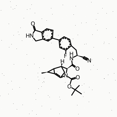 C[C@@H]1C2=C3C[C@H](C21)[C@@H](C(=O)N[C@H](C#N)Cc1ccc(-c2ccc4c(c2)CNC4=O)cc1F)N3C(=O)OC(C)(C)C